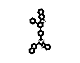 c1ccc(-c2cc(-c3ccc(-c4nc(-c5ccc6ccccc6c5)c5sc6ccccc6c5n4)cc3)cc3oc4cc5ccccc5cc4c23)cc1